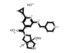 CO[C@@]12CNC[C@H]1CN(C(=O)c1cc(OCC3CCOCC3)nc(C3CC3)c1)C2.Cl.Cl